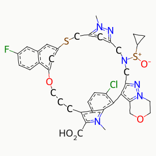 Cn1nc2cc1CSc1cc(c3ccc(F)cc3c1)OCCCc1c(C(=O)O)n(C)c3c(c(Cl)ccc13)-c1c(nn3c1COCC3)CN([S+]([O-])C1CC1)C2